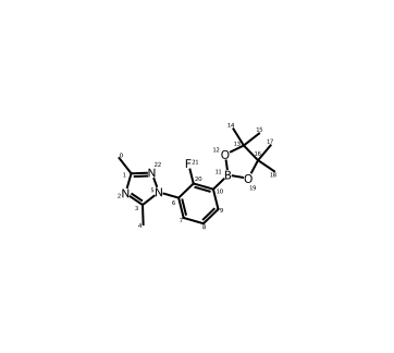 Cc1nc(C)n(-c2cccc(B3OC(C)(C)C(C)(C)O3)c2F)n1